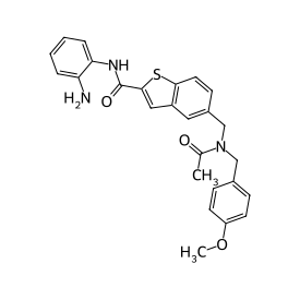 COc1ccc(CN(Cc2ccc3sc(C(=O)Nc4ccccc4N)cc3c2)C(C)=O)cc1